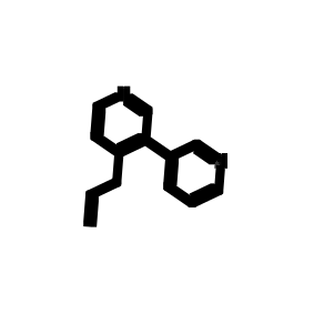 C=CCc1ccncc1-c1cccnc1